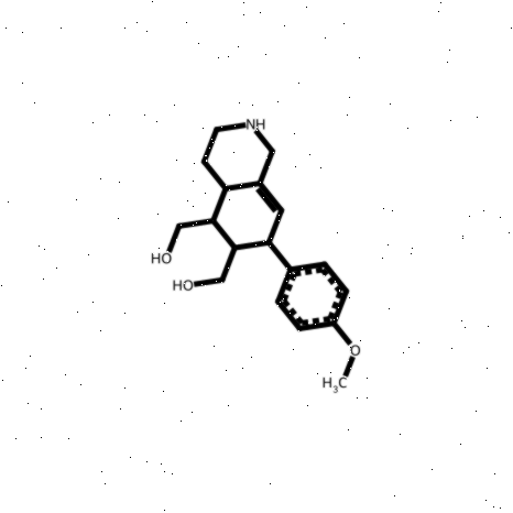 COc1ccc(C2C=C3CNCCC3C(CO)C2CO)cc1